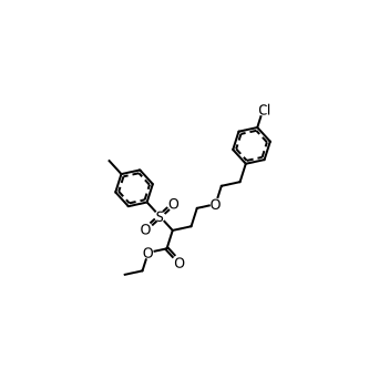 CCOC(=O)C(CCOCCc1ccc(Cl)cc1)S(=O)(=O)c1ccc(C)cc1